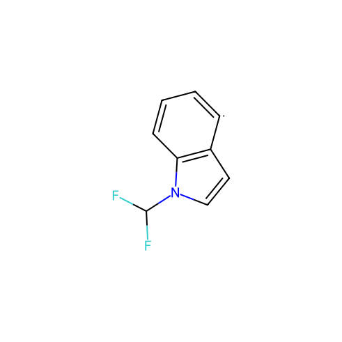 FC(F)n1ccc2[c]cccc21